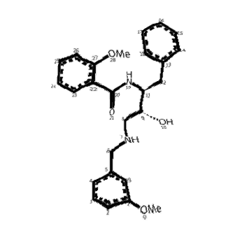 COc1cccc(CNC[C@@H](O)[C@H](Cc2ccccc2)NC(=O)c2ccccc2OC)c1